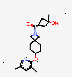 Cc1cnc(OC2CCC3(CC2)CN(C(=O)C2CC(C)(O)C2)C3)c(C)c1